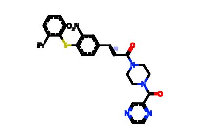 CC(C)c1ccccc1Sc1ccc(/C=C/C(=O)N2CCN(C(=O)c3cnccn3)CC2)cc1[N+](=O)[O-]